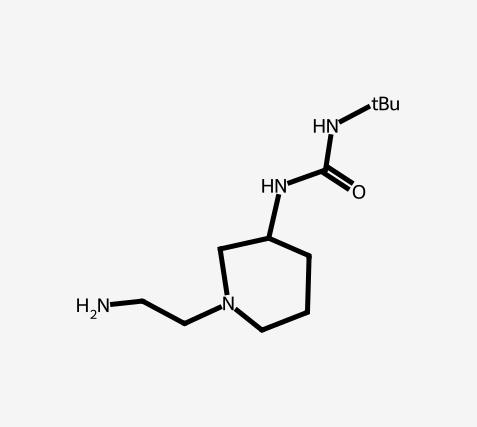 CC(C)(C)NC(=O)NC1CCCN(CCN)C1